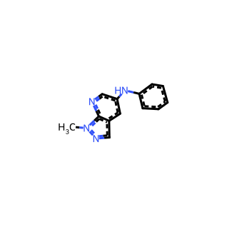 Cn1ncc2cc(Nc3ccccc3)cnc21